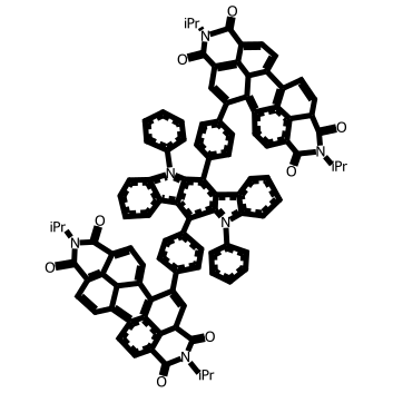 CC(C)N1C(=O)C2=CC=C3C4=c5c6c(ccc5=C5C=CC(=C2C35)C1=O)C(=O)N(C(C)C)C(=O)C6C=C4c1ccc(-c2c3c4ccccc4n(-c4ccccc4)c3c(-c3ccc(C4=CC5=C6C(=CC=C7C8=c9c%10c(ccc9=C4C76)C(=O)N(C(C)C)C(=O)C%10C=C8)C(=O)N(C(C)C)C5=O)cc3)c3c4ccccc4n(-c4ccccc4)c23)cc1